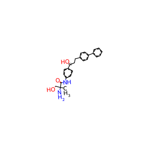 CC(N)(CO)C(=O)Nc1ccc([C@@H](O)CCc2ccc(-c3ccccc3)cc2)cc1